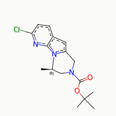 C[C@@H]1CN(C(=O)OC(C)(C)C)Cc2cc3ccc(Cl)nc3n21